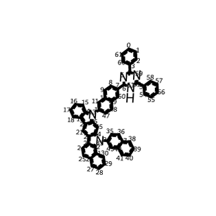 c1ccc(C2=NC(c3ccc4cc(-n5c6ccccc6c6cc7c8ccc9ccccc9c8n(-c8ccc9ccccc9c8)c7cc65)ccc4c3)NC(c3ccccc3)=N2)cc1